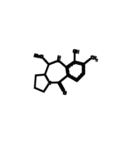 COC1Nc2c(ccc(C)c2O)C(=O)N2CCCC12